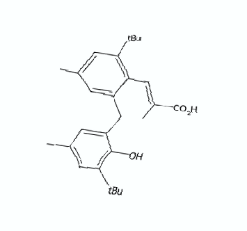 CC(=Cc1c(Cc2cc(C)cc(C(C)(C)C)c2O)cc(C)cc1C(C)(C)C)C(=O)O